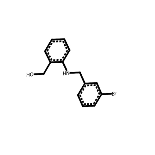 OCc1ccccc1NCc1cccc(Br)c1